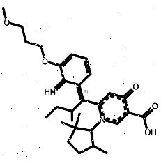 CCC(C)/C(=C1/C=CC=C(OCCCOC)C1=N)c1cc(=O)c(C(=O)O)cn1C1C(C)CCC1(C)C